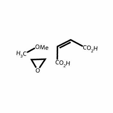 C1CO1.COC.O=C(O)/C=C\C(=O)O